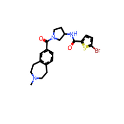 CN1CCc2ccc(C(=O)N3CCC(NC(=O)c4ccc(Br)s4)C3)cc2CC1